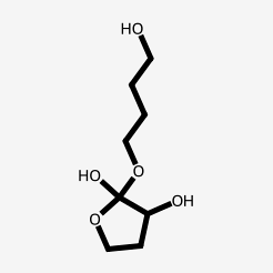 OCCCCOC1(O)OCCC1O